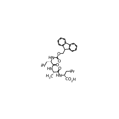 CC(C)C[C@H](NC(=O)[C@H](C)NC(=O)[C@H](CC(C)C)NC(=O)OCC1c2ccccc2-c2ccccc21)C(=O)O